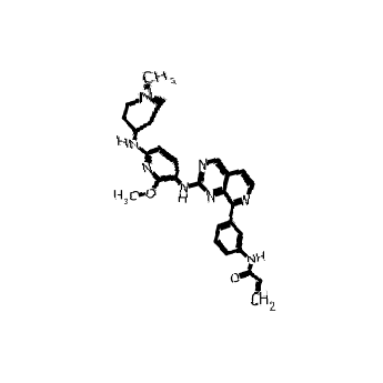 C=CC(=O)Nc1cccc(-c2nccc3cnc(Nc4ccc(NC5CCN(C)CC5)nc4OC)nc23)c1